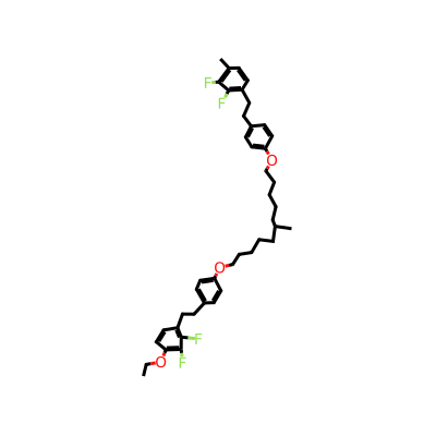 CCOc1ccc(CCc2ccc(OCCCCCC(C)CCCCCOc3ccc(CCc4ccc(C)c(F)c4F)cc3)cc2)c(F)c1F